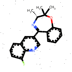 C[C@H]1N=C(c2cnc3c(F)cccc3c2)c2ccccc2OC1(C)C